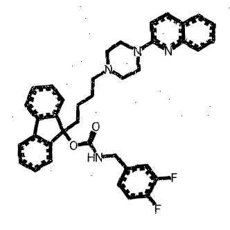 O=C(NCc1ccc(F)c(F)c1)OC1(CCCCN2CCN(c3ccc4ccccc4n3)CC2)c2ccccc2-c2ccccc21